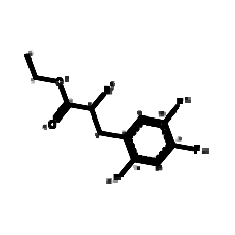 CCOC(=O)C(Br)Cc1cc(F)c(F)cc1F